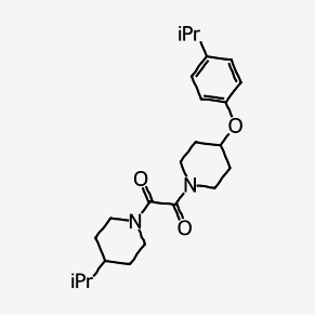 CC(C)c1ccc(OC2CCN(C(=O)C(=O)N3CCC(C(C)C)CC3)CC2)cc1